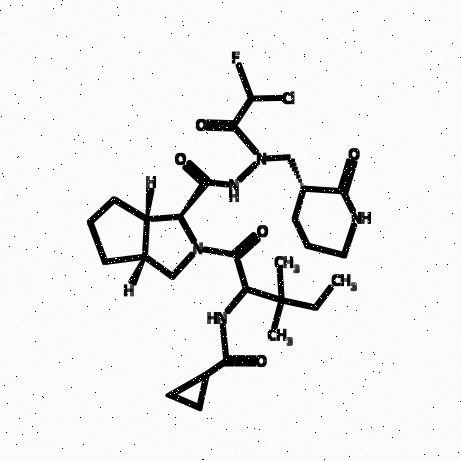 CCC(C)(C)C(NC(=O)C1CC1)C(=O)N1C[C@@H]2CCC[C@@H]2[C@H]1C(=O)NN(C[C@H]1CCCNC1=O)C(=O)C(F)Cl